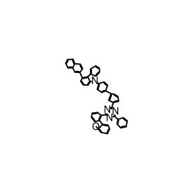 c1ccc(-c2nc(-c3cccc(-c4ccc(-n5c6ccccc6c6c(-c7ccc8ccccc8c7)cccc65)cc4)c3)nc(-c3cccc4oc5ccccc5c34)n2)cc1